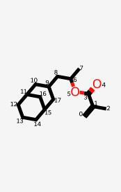 C=C(C)C(=O)OC(C)CC1CC2CCCC(C2)C1